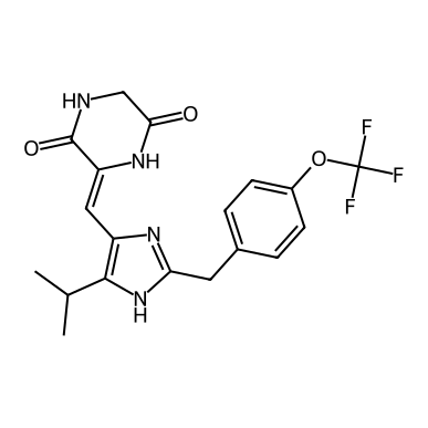 CC(C)c1[nH]c(Cc2ccc(OC(F)(F)F)cc2)nc1C=C1NC(=O)CNC1=O